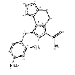 CC(=O)Nc1ccc(Oc2sc(C(N)=O)c3c2-c2sncc2CC3)c(C)n1